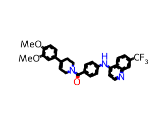 COc1ccc(C2=CCN(C(=O)c3ccc(Nc4ccnc5cc(C(F)(F)F)ccc45)cc3)CC2)cc1OC